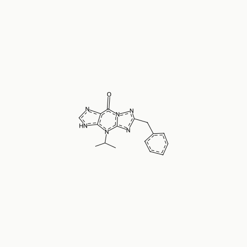 CC(C)n1c2[nH]cnc2c(=O)n2nc(Cc3ccccc3)nc12